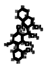 C=C(c1cc2c(cc1C)C=CCC2)c1c(C)cc(F)c(-c2ccccc2C)c1C